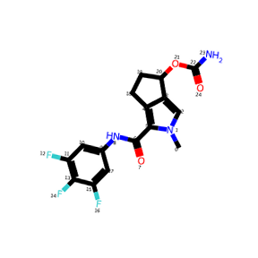 Cn1cc2c(c1C(=O)Nc1cc(F)c(F)c(F)c1)CCC2OC(N)=O